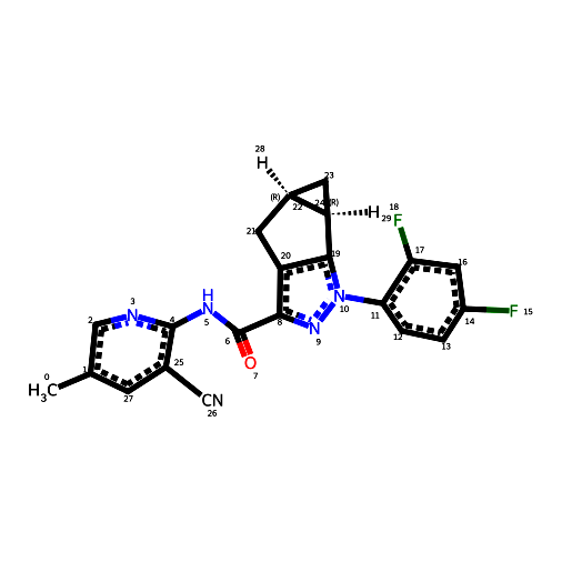 Cc1cnc(NC(=O)c2nn(-c3ccc(F)cc3F)c3c2C[C@H]2C[C@@H]32)c(C#N)c1